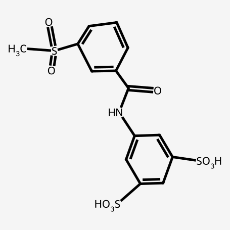 CS(=O)(=O)c1cccc(C(=O)Nc2cc(S(=O)(=O)O)cc(S(=O)(=O)O)c2)c1